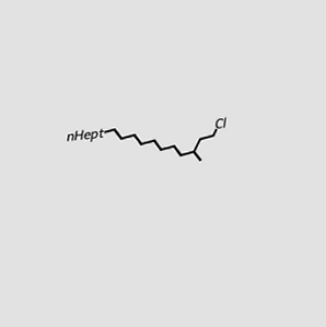 CCCCCCCCCCCCCCCC(C)CCCl